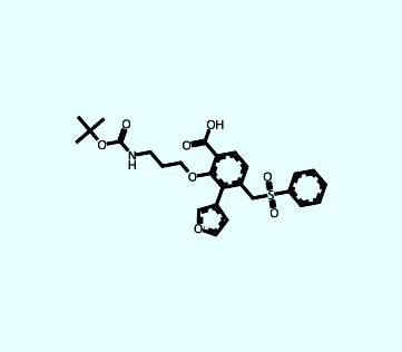 CC(C)(C)OC(=O)NCCCOc1c(C(=O)O)ccc(CS(=O)(=O)c2ccccc2)c1-c1ccoc1